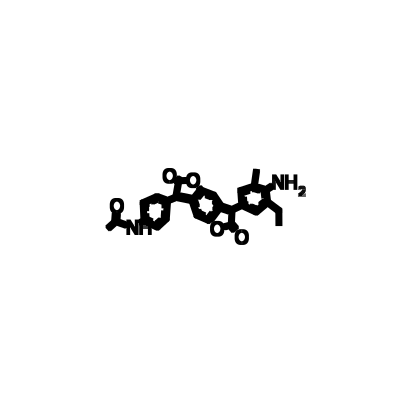 CCc1cc(C2=c3cc4c(cc3OC2=O)=C(c2ccc(NC(C)=O)cc2)C(=O)O4)cc(C)c1N